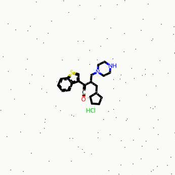 Cl.O=C=C(c1csc2ccccc12)C(CC1CCCC1)CN1CCNCC1